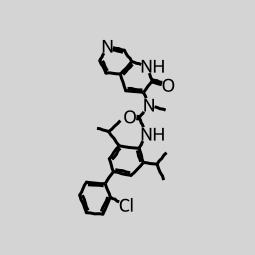 CC(C)c1cc(-c2ccccc2Cl)cc(C(C)C)c1NC(=O)N(C)c1cc2ccncc2[nH]c1=O